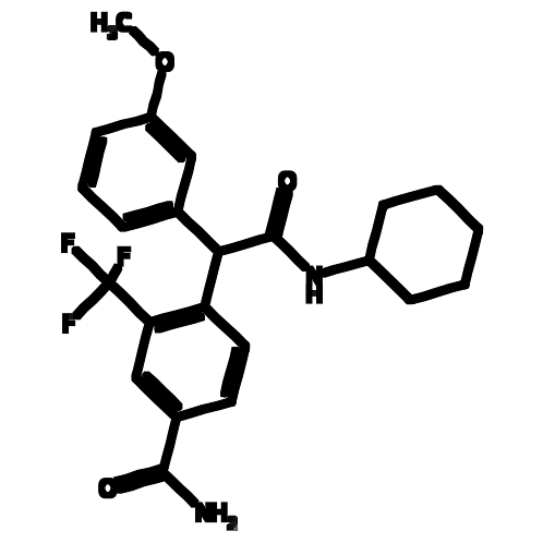 COc1cccc(C(C(=O)NC2CCCCC2)c2ccc(C(N)=O)cc2C(F)(F)F)c1